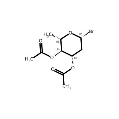 CC(=O)O[C@@H]1[C@H](C)O[C@H](Br)C[C@@H]1OC(C)=O